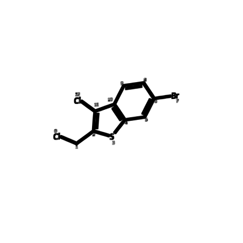 ClCc1sc2cc(Br)ccc2c1Cl